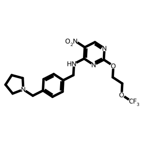 O=[N+]([O-])c1cnc(OCCOC(F)(F)F)nc1NCc1ccc(CN2CCCC2)cc1